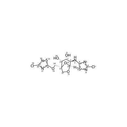 O[C@@H]1[C@@H](Nc2nc(Cl)ns2)[C@H]2OC[C@](COc3nc(Cl)ns3)(O2)[C@@H]1O